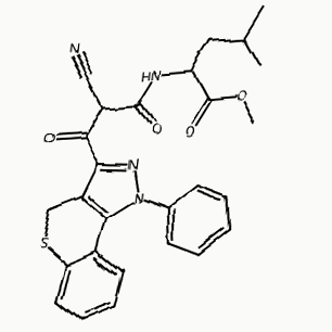 COC(=O)C(CC(C)C)NC(=O)C(C#N)C(=O)c1nn(-c2ccccc2)c2c1CSc1ccccc1-2